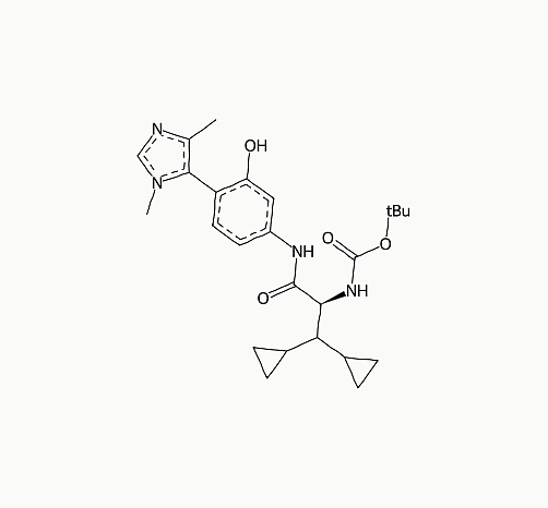 Cc1ncn(C)c1-c1ccc(NC(=O)[C@@H](NC(=O)OC(C)(C)C)C(C2CC2)C2CC2)cc1O